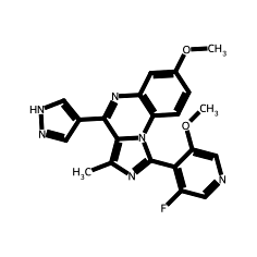 COc1ccc2c(c1)nc(-c1cn[nH]c1)c1c(C)nc(-c3c(F)cncc3OC)n12